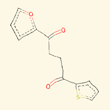 O=C(CCC(=O)c1cccs1)c1ccco1